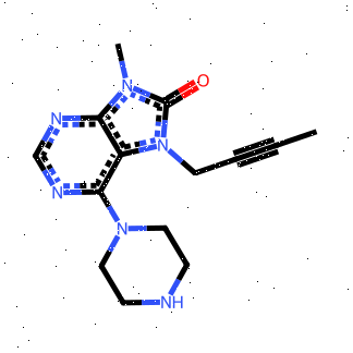 CC#CCn1c(=O)n(C)c2ncnc(N3CCNCC3)c21